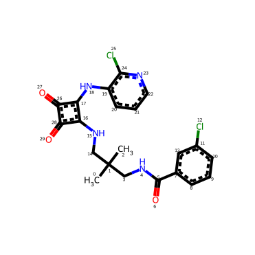 CC(C)(CNC(=O)c1cccc(Cl)c1)CNc1c(Nc2cccnc2Cl)c(=O)c1=O